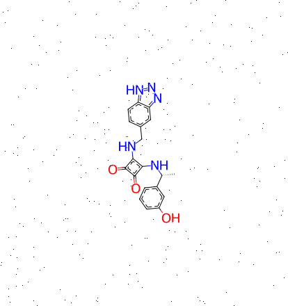 C[C@@H](Nc1c(NCc2ccc3[nH]nnc3c2)c(=O)c1=O)c1cccc(O)c1